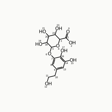 O=C(O)C1OC(Oc2cc(CCO)cc(O)c2O)C(O)C(O)C1O